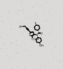 CC(C)CC#Cc1cc(N(C(=O)[C@H]2CC[C@H](C)CC2)[C@H]2CC[C@H](O)CC2)c(C(=O)O)s1